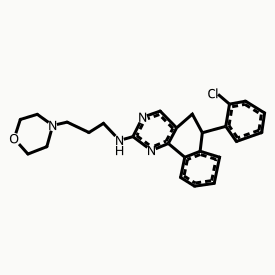 Clc1ccccc1C1Cc2cnc(NCCCN3CCOCC3)nc2-c2ccccc21